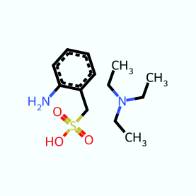 CCN(CC)CC.Nc1ccccc1CS(=O)(=O)O